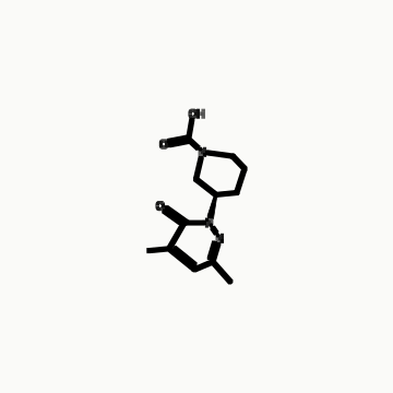 Cc1cc(C)c(=O)n([C@@H]2CCCN(C(=O)O)C2)n1